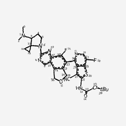 CN(C)C1CCN(c2ncc3c4c(c(-c5ncc(F)c6sc(NC(=O)OC(C)(C)C)c(C#N)c56)c(F)c3n2)COC4)C12CC2